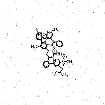 C=CC1C(CCc2cc(C)c3c(sc4cc(F)ccc43)c2-c2n(-c3cc(C)nc(C)c3)c3ccccc3[n+]2C)c2ccccc2-c2cc(CC(C)C)c([Si](C)(C)C)c[n+]21